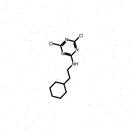 Clc1nc(Cl)nc(NCCC2CCCCC2)n1